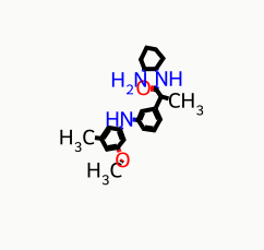 COc1cc(C)cc(Nc2cccc(C(C)C(=O)NC3CCCCC3N)c2)c1